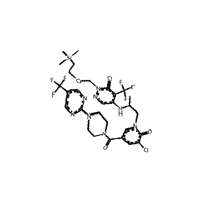 CC(Cn1cc(C(=O)N2CCN(c3ncc(C(F)(F)F)cn3)CC2)cc(Cl)c1=O)Nc1cnn(COCC[Si](C)(C)C)c(=O)c1C(F)(F)F